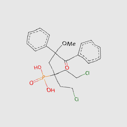 COC(CC(CCCl)(CCCl)P(=O)(O)O)(C(=O)c1ccccc1)c1ccccc1